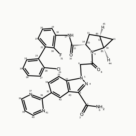 NC(=O)c1nn(CC(=O)N2[C@@H]3C[C@@H]3C[C@H]2C(=O)Nc2cccc(-c3ccccc3Cl)c2F)c2ccc(-c3ncccn3)cc12